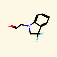 O=CCN1CC(F)(F)c2ccccc21